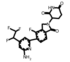 Nc1cc(C(F)C(F)F)cc(-c2ccc3c(c2F)CN(C2CCC(=O)NC2=O)C3=O)n1